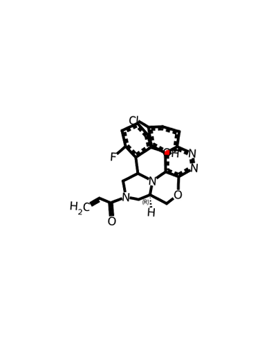 C=CC(=O)N1CC(c2c(O)cccc2F)N2c3c(nnc4ccc(Cl)cc34)OC[C@H]2C1